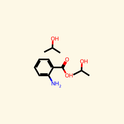 CC(C)O.CC(C)O.Nc1ccccc1C(=O)O